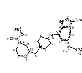 CC(C)c1cnc2c(NC3CCN(C[C@@H]4CN(C(=O)OC(C)(C)C)CCO4)CC3)cc([C@@H](C)O)cn12